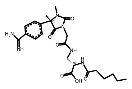 CCCCCC(=O)N[C@@H](CNC(=O)CN1C(=O)N(C)[C@@](C)(c2ccc(C(=N)N)cc2)C1=O)C(=O)O